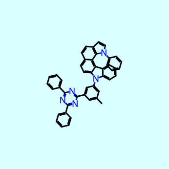 Cc1cc(-c2nc(-c3ccccc3)nc(-c3ccccc3)n2)cc(-n2c3ccccc3c3c4c(ccc5ccn(-c6ccccc6)c54)ccc32)c1